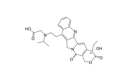 CC[C@@]1(O)C(=O)OCc2c1cc1n(c2=O)Cc2c-1nc1ccccc1c2CCN(CC(=O)O)C(C)C